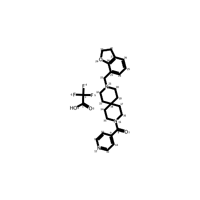 O=C(O)C(F)(F)F.O=C(c1ccncc1)N1CCC2(CCN(Cc3cccc4c3OCC4)CC2)CC1